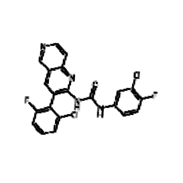 O=C(Nc1ccc(F)c(Cl)c1)Nc1nc2ccncc2cc1-c1c(F)cccc1Cl